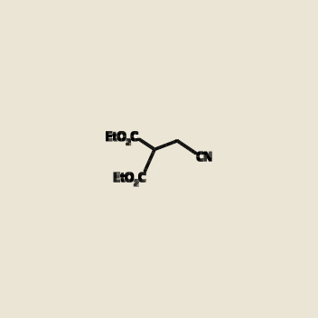 CCOC(=O)C(CC#N)C(=O)OCC